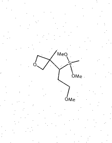 COCCC(C1(C)COC1)[Si](C)(OC)OC